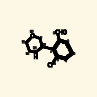 O=Cc1cccc(Cl)c1C1COCCN1